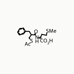 CSCC[C@@H](NC(=O)C(CSC(C)=O)Cc1ccccc1)C(=O)O